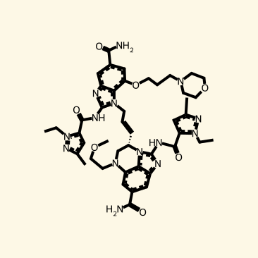 CCn1nc(C)cc1C(=O)Nc1nc2cc(C(N)=O)cc(OCCCN3CCOCC3)c2n1C/C=C/[C@H]1CN(CCOC)c2cc(C(N)=O)cc3nc(NC(=O)c4cc(C)nn4CC)n1c23